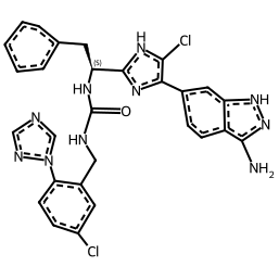 Nc1n[nH]c2cc(-c3nc([C@H](Cc4ccccc4)NC(=O)NCc4cc(Cl)ccc4-n4cncn4)[nH]c3Cl)ccc12